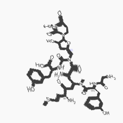 CSCC[C@H](N)C(=O)CC(C(N)C(=O)N(/C=C1\CC(O)C(N2CCC(=O)NC2=O)O1)C(=O)NC(Cc1cccc(O)c1)C(=O)O)N(C)C(=O)[C@H](Cc1cccc(O)c1)NC(=O)CN